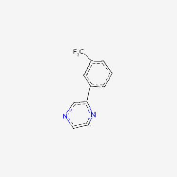 FC(F)(F)c1cccc(-c2cnc[c]n2)c1